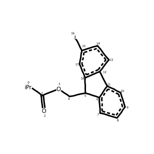 CC(C)C(=O)OCC1c2ccccc2-c2ccc(I)cc21